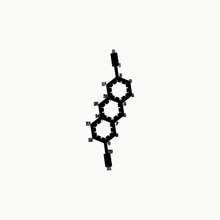 C#Cc1ccc2cc3cc(C#C)ccc3cc2c1